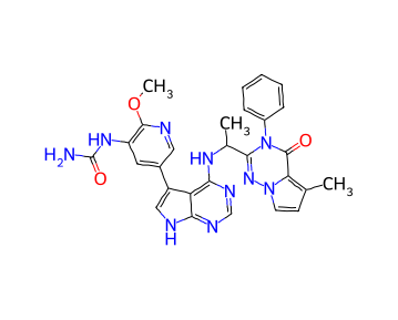 COc1ncc(-c2c[nH]c3ncnc(NC(C)c4nn5ccc(C)c5c(=O)n4-c4ccccc4)c23)cc1NC(N)=O